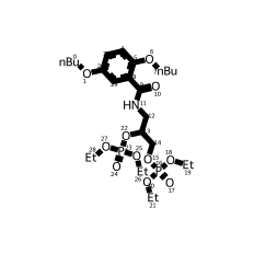 CCCCOc1ccc(OCCCC)c(C(=O)NCC(COP(=O)(OCC)OCC)OP(=O)(OCC)OCC)c1